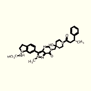 C[C@H](CC(=O)N1CCC(O)(Cn2cnc3c(-c4ccc5c(c4)N(NC(=O)O)CC5)n(C)nc3c2=O)CC1)c1ccccc1